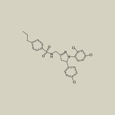 CCCc1ccc(S(=O)(=O)NCC2=NN(c3ccc(Cl)cc3Cl)C(c3ccc(Cl)cc3)C2)cc1